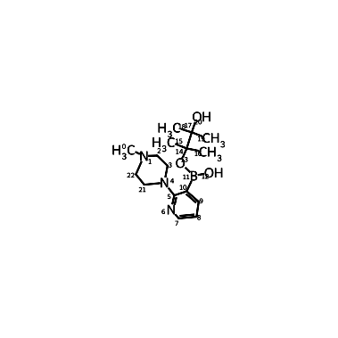 CN1CCN(c2ncccc2B(O)OC(C)(C)C(C)(C)O)CC1